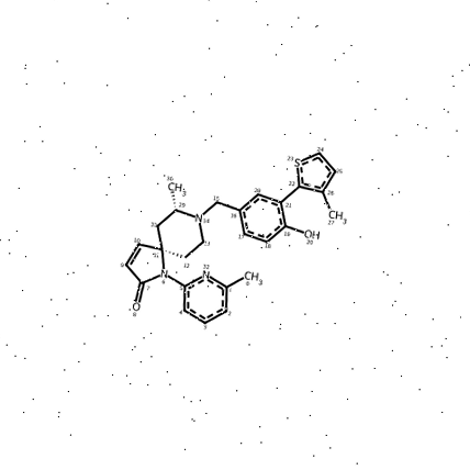 Cc1cccc(N2C(=O)C=C[C@]23CCN(Cc2ccc(O)c(-c4sccc4C)c2)[C@@H](C)C3)n1